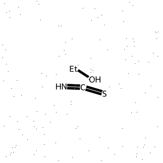 CCO.N=C=S